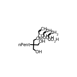 C=CC(=O)O.C=CC(=O)O.C=CC(=O)O.CCCCCC(CO)(CO)CO